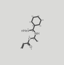 C=CC(=O)OC(C)NC(CCCCCC)C1CCCCC1